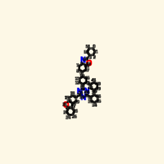 c1ccc(-c2nc3ccc(-c4ccc(-c5nc(-c6ccc7oc8ccccc8c7c6)nc(-c6ccccc6-c6ccccc6)n5)cc4)cc3o2)cc1